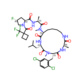 CC(C)C[C@@H]1NC(=O)[C@@H](N(C)C(=O)[C@H](C)NC(=O)[C@@H]2C[C@@H](F)CN2C(=O)C2(C(F)(F)F)CCC2)CCCCNC(=O)[C@@H](C)NC(=O)[C@H](Cc2cc(Cl)ccc2Cl)N(C)C1=O